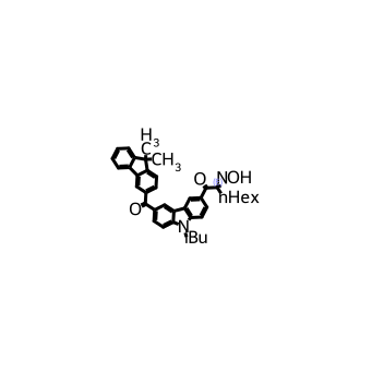 CCCCCC/C(=N\O)C(=O)c1ccc2c(c1)c1cc(C(=O)c3ccc4c(c3)-c3ccccc3C4(C)C)ccc1n2C(C)CC